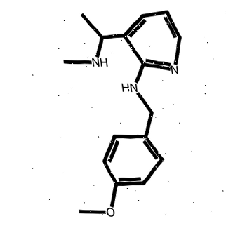 CNC(C)c1cccnc1NCc1ccc(OC)cc1